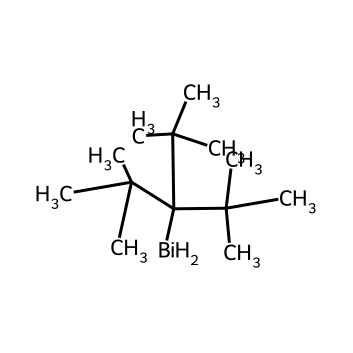 CC(C)(C)[C]([BiH2])(C(C)(C)C)C(C)(C)C